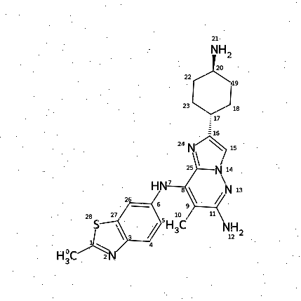 Cc1nc2ccc(Nc3c(C)c(N)nn4cc([C@H]5CC[C@H](N)CC5)nc34)cc2s1